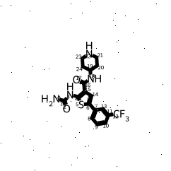 NC(=O)Nc1sc(-c2cccc(C(F)(F)F)c2)cc1C(=O)NC1CCNCC1